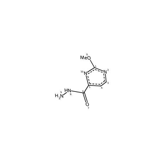 COc1nccc(C(=O)NN)n1